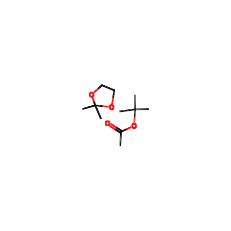 CC(=O)OC(C)(C)C.CC1(C)OCCO1